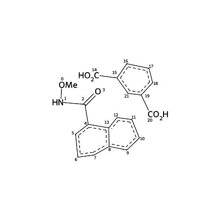 CONC(=O)c1cccc2ccccc12.O=C(O)c1cccc(C(=O)O)c1